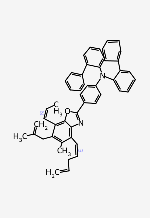 C=CC/C=C\c1c(C)c(CC(=C)C)c(/C=C\C)c2oc(-c3ccc(N(c4ccccc4-c4ccccc4)c4ccccc4-c4ccccc4)cc3)nc12